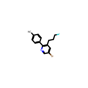 N#Cc1ccc(-c2ncc(Br)cc2CCCF)cc1